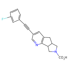 O=C(O)N1CC2Cc3cc(C#Cc4cccc(F)c4)cnc3C2C1